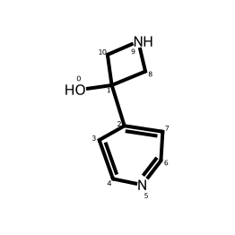 OC1(c2ccncc2)CNC1